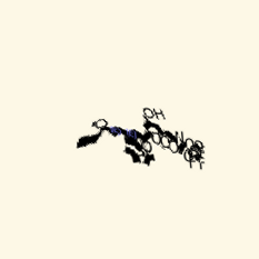 C#CC[C@H](/C=C/C(C)=C/[C@@H](O[Si](C(C)C)(C(C)C)C(C)C)[C@H]1C[C@@H](CO)C[C@](Cc2nc(OS(=O)(=O)C(F)(F)F)co2)(OC)O1)OC